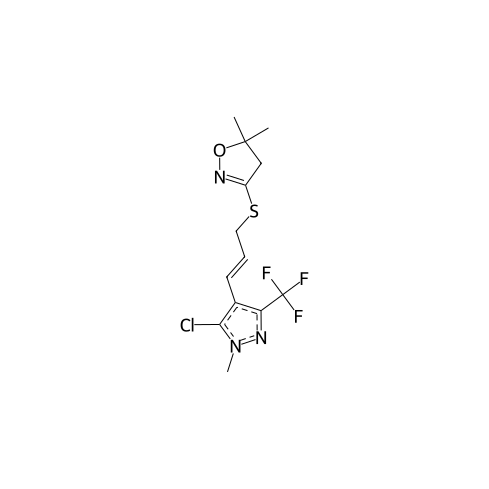 Cn1nc(C(F)(F)F)c(/C=C/CSC2=NOC(C)(C)C2)c1Cl